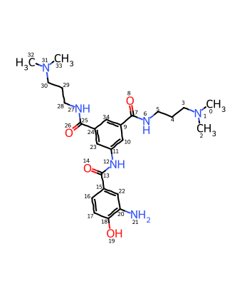 CN(C)CCCNC(=O)c1cc(NC(=O)c2ccc(O)c(N)c2)cc(C(=O)NCCCN(C)C)c1